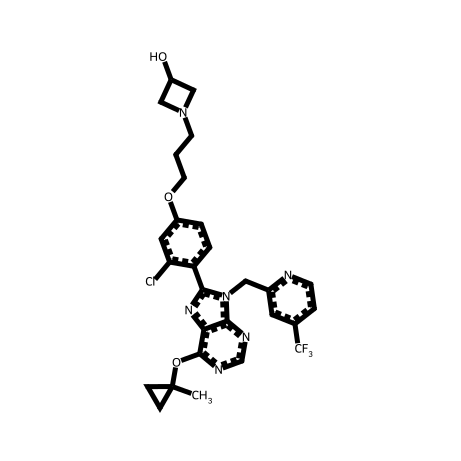 CC1(Oc2ncnc3c2nc(-c2ccc(OCCCN4CC(O)C4)cc2Cl)n3Cc2cc(C(F)(F)F)ccn2)CC1